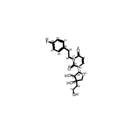 O=c1ccn([C@@H]2OCC(O)(CCO)C2O)c(=O)n1CCc1ccc(F)cc1